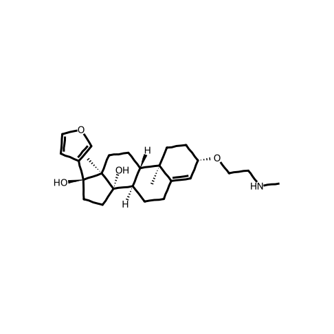 CNCCO[C@@H]1C=C2CC[C@@H]3[C@H](CC[C@]4(C)[C@@](O)(c5ccoc5)CC[C@]34O)[C@@]2(C)CC1